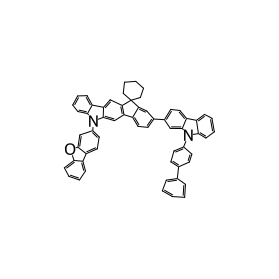 c1ccc(-c2ccc(-n3c4ccccc4c4ccc(-c5ccc6c(c5)C5(CCCCC5)c5cc7c8ccccc8n(-c8ccc9c(c8)oc8ccccc89)c7cc5-6)cc43)cc2)cc1